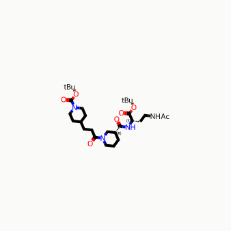 CC(=O)NCC[C@H](NC(=O)[C@@H]1CCCN(C(=O)CCC2CCN(C(=O)OC(C)(C)C)CC2)C1)C(=O)OC(C)(C)C